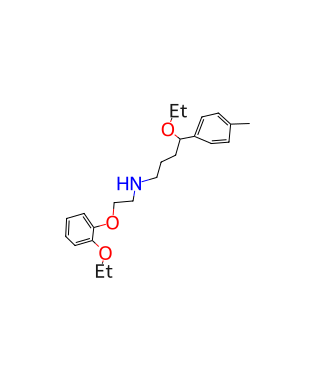 CCOc1ccccc1OCCNCCCC(OCC)c1ccc(C)cc1